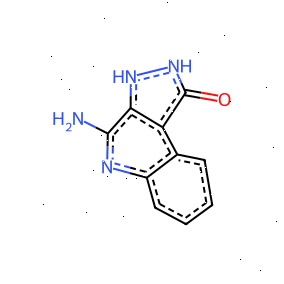 Nc1nc2ccccc2c2c(=O)[nH][nH]c12